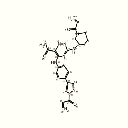 C=CC(=O)N1CCCC(Nc2nnc(C(N)=O)c(Nc3ccc(-c4cnn(C(=O)C=C)c4)cc3)n2)C1